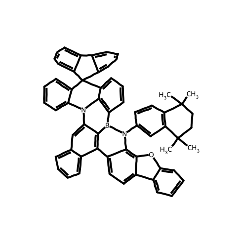 CC1(C)CCC(C)(C)c2cc(N3B4c5cccc6c5N(c5ccccc5C65c6ccccc6-c6ccccc65)c5cc6ccccc6c(c54)-c4ccc5c(oc6ccccc65)c43)ccc21